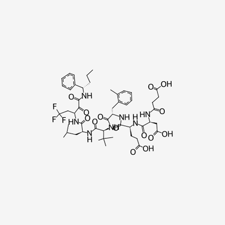 CCC[C@H](NC(=O)C(=O)C(CC(F)(F)F)NC(=O)[C@H](CC(C)C)NC(=O)[C@@H](NC(=O)[C@H](Cc1ccccc1C)NC(=O)[C@H](CCC(=O)O)NC(=O)[C@H](CC(=O)O)NC(=O)CCC(=O)O)C(C)(C)C)c1ccccc1